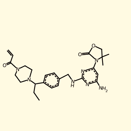 C=CC(=O)N1CCN(C(CC)c2ccc(CNc3nc(N)cc(N4C(=O)OCC4(C)C)n3)cc2)CC1